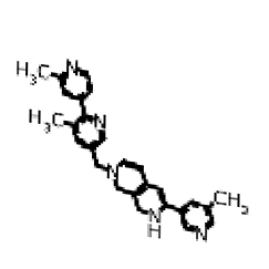 Cc1cncc(C2=CC3=C(CN2)CN(Cc2cnc(-c4ccnc(C)c4)c(C)c2)C=C3)c1